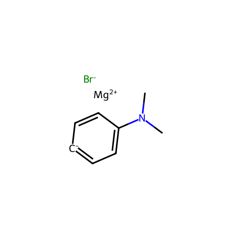 CN(C)c1cc[c-]cc1.[Br-].[Mg+2]